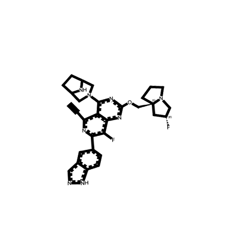 C#Cc1nc(-c2ccc3[nH]ncc3c2)c(F)c2nc(OC[C@@]34CCCN3C[C@H](F)C4)nc(N3CC4CCC(C3)N4)c12